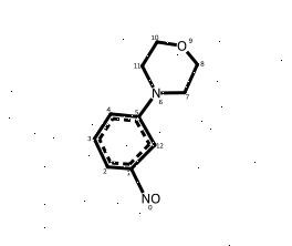 O=Nc1cccc(N2CCOCC2)c1